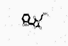 CC(C)COc1ccccc1/C=C1/SC(=O)N(CCN)C1=O